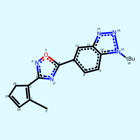 CC1=C(c2noc(-c3ccc4c(c3)nnn4C(C)(C)C)n2)CC=C1